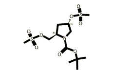 CC(C)(C)OC(=O)N1C[C@@H](OS(C)(=O)=O)C[C@@H]1COS(C)(=O)=O